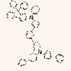 C1=CC(c2cccc(N(C3=CCCC=C3)c3ccc4c(c3)C(c3ccccc3)(c3ccccc3)c3ccccc3-4)c2)CC(c2ccc3c(c2)c2cc(-c4ccccc4)ccc2n3-c2ccc(-c3ccccc3)cc2)=C1